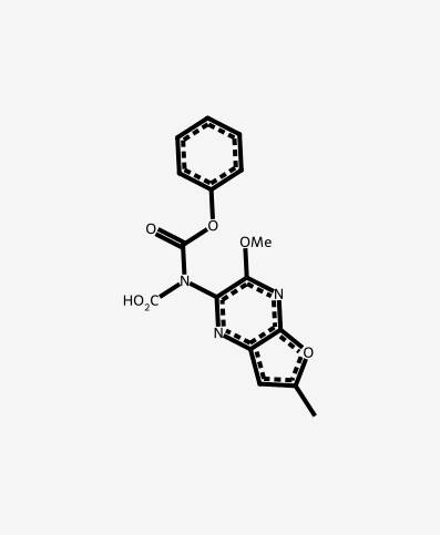 COc1nc2oc(C)cc2nc1N(C(=O)O)C(=O)Oc1ccccc1